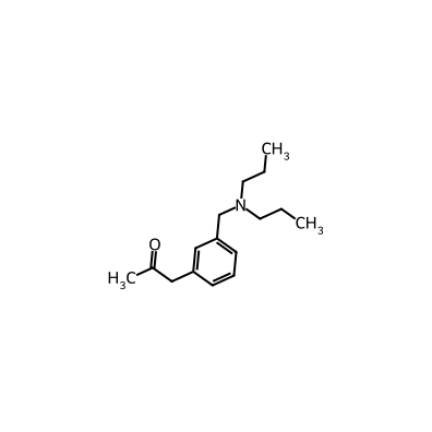 CCCN(CCC)Cc1cccc(CC(C)=O)c1